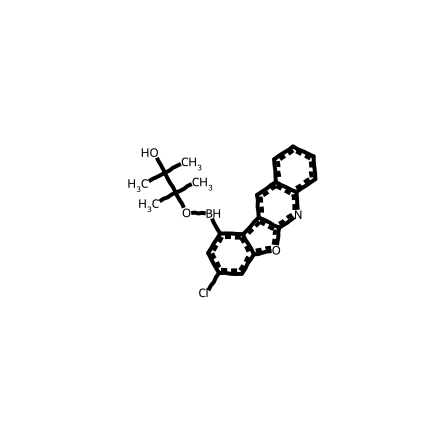 CC(C)(O)C(C)(C)OBc1cc(Cl)cc2oc3nc4ccccc4cc3c12